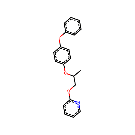 CC(COc1ccccn1)Oc1ccc(Oc2ccccc2)cc1